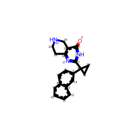 O=c1[nH]c(C2(c3ccc4ccccc4c3)CC2)nc2c1CNCC2